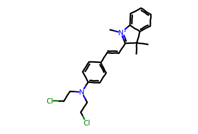 C[N+]1=C(/C=C/c2ccc(N(CCCl)CCCl)cc2)C(C)(C)c2ccccc21